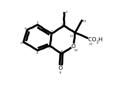 CC1c2ccccc2C(=O)OC1(C)C(=O)O